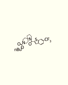 CCCCOC(=O)N1CCC2(CCCN2C(=O)c2cc3ccc(C(F)(F)F)cc3s2)CC1